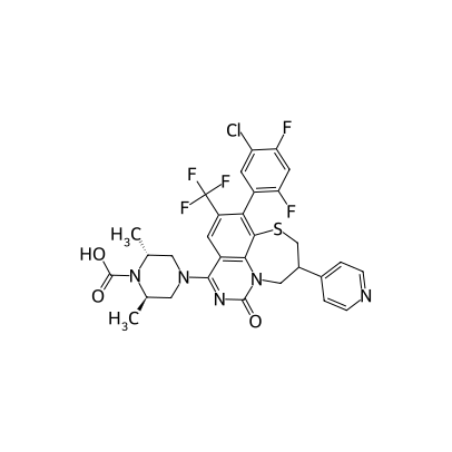 C[C@@H]1CN(c2nc(=O)n3c4c(c(-c5cc(Cl)c(F)cc5F)c(C(F)(F)F)cc24)SCC(c2ccncc2)C3)C[C@@H](C)N1C(=O)O